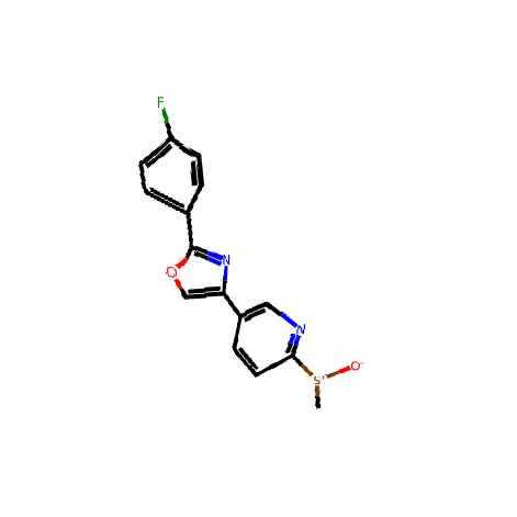 C[S+]([O-])c1ccc(-c2coc(-c3ccc(F)cc3)n2)cn1